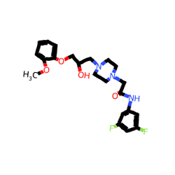 COc1ccccc1OCC(O)CN1CCN(CC(=O)Nc2cc(F)cc(F)c2)CC1